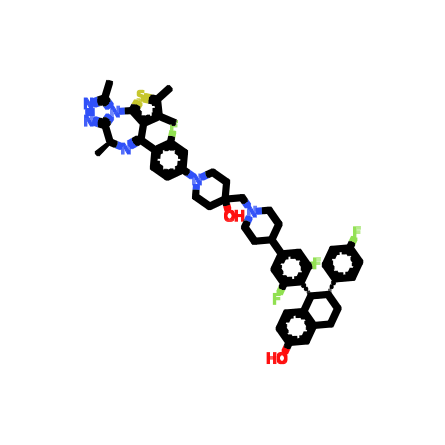 Cc1sc2c(c1C)C(c1ccc(N3CCC(O)(CN4CCC(c5cc(F)c([C@H]6c7ccc(O)cc7CC[C@H]6c6ccc(F)cc6)c(F)c5)CC4)CC3)cc1F)=N[C@@H](C)c1nnc(C)n1-2